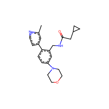 Cc1cc(-c2ccc(N3CCOCC3)cc2CNC(=O)CC2CC2)ccn1